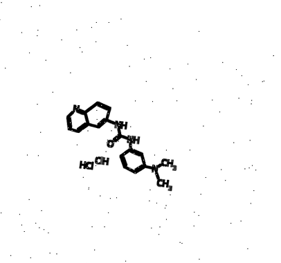 CN(C)c1cccc(NC(=O)Nc2ccc3ncccc3c2)c1.Cl.Cl